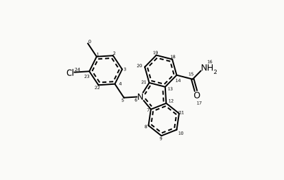 Cc1ccc(Cn2c3ccc[c]c3c3c(C(N)=O)cccc32)cc1Cl